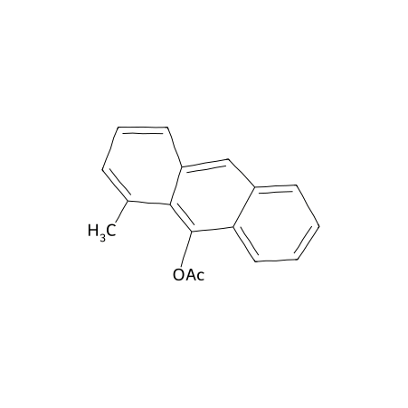 CC(=O)Oc1c2ccccc2cc2cccc(C)c12